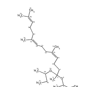 CCC(C)OC(C)(CCC=C(C)CCC=C(C)CCC=C(C)C)OC(C)CC